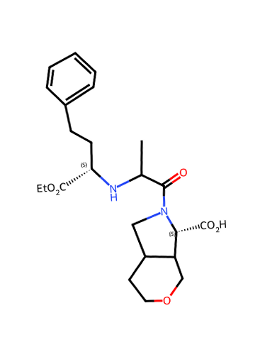 CCOC(=O)[C@H](CCc1ccccc1)NC(C)C(=O)N1CC2CCOCC2[C@H]1C(=O)O